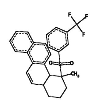 CC1(S(=O)(=O)c2cccc(C(F)(F)F)c2)CCCC2C=Cc3c(ccc4ccccc34)C21